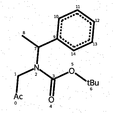 CC(=O)CN(C(=O)OC(C)(C)C)C(C)c1ccccc1